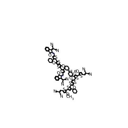 COc1cc(C=C(C#N)C#N)sc1-c1cc2c(s1)-c1sc3c4c(sc3c1OC21CCCCC1)-c1sc(-c2sc(C=C(C#N)C#N)cc2OC)cc1C1(CCC(C2CCCC3(C2)Oc2c(sc5c6c(sc25)-c2sc(/C=C5\C(=O)c7ccccc7C5=C(C#N)C#N)cc2C2(CCCCC2)O6)-c2sc(/C=C5\C(=O)c6ccccc6C5=C(C#N)C#N)cc23)CC1)O4